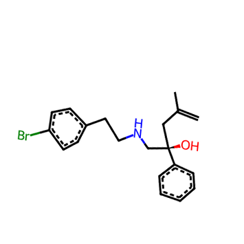 C=C(C)C[C@@](O)(CNCCc1ccc(Br)cc1)c1ccccc1